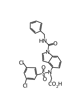 O=C(O)CN(c1cccc2c1ccn2C(=O)NCc1ccccc1)S(=O)(=O)c1cc(Cl)cc(Cl)c1